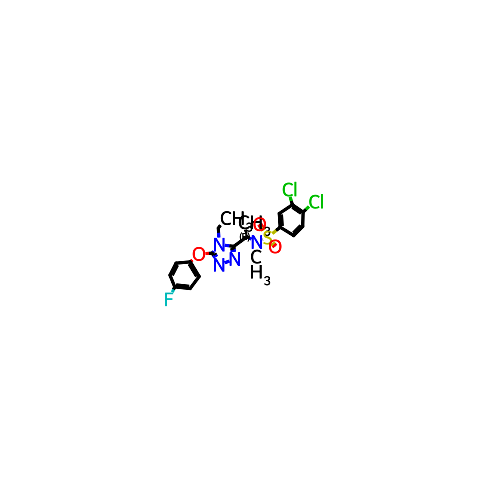 CCn1c(Oc2ccc(F)cc2)nnc1[C@@H](C)N(C)S(=O)(=O)c1ccc(Cl)c(Cl)c1